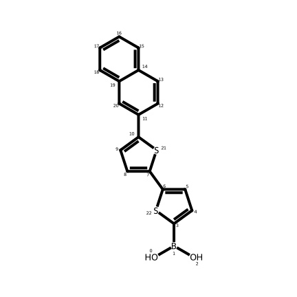 OB(O)c1ccc(-c2ccc(-c3ccc4ccccc4c3)s2)s1